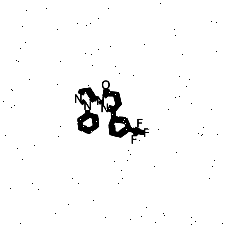 O=c1ccc(-c2cccc(C(F)(F)F)c2)nn1-c1ccnn1-c1ccccc1